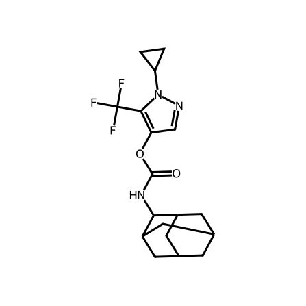 O=C(NC1C2CC3CC(C2)CC1C3)Oc1cnn(C2CC2)c1C(F)(F)F